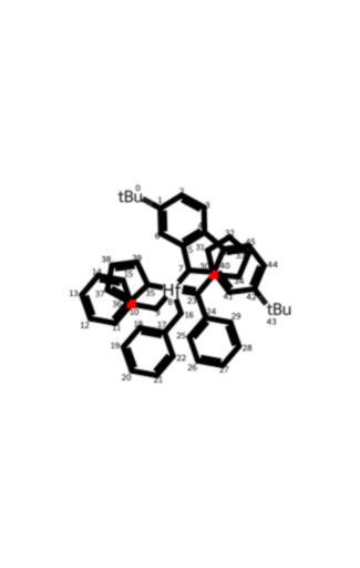 CC(C)(C)c1ccc2c(c1)[CH]([Hf]([CH2]c1ccccc1)([CH2]c1ccccc1)(=[C](c1ccccc1)C1CCCC1)[CH]1C=CC=C1)c1cc(C(C)(C)C)ccc1-2